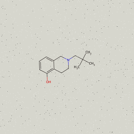 CC(C)(C)CN1CCc2c(O)cccc2C1